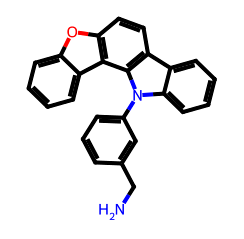 NCc1cccc(-n2c3ccccc3c3ccc4oc5ccccc5c4c32)c1